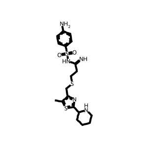 Cc1sc(C2CCCCN2)nc1CSCCC(=N)NS(=O)(=O)c1ccc(N)cc1